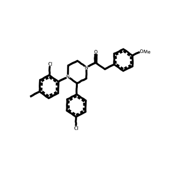 COc1ccc(CC(=O)N2CCN(c3ccc(C)cc3Cl)C(c3ccc(Cl)cc3)C2)cc1